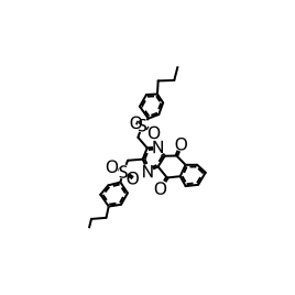 CCCc1ccc(S(=O)(=O)Cc2nc3c(nc2CS(=O)(=O)c2ccc(CCC)cc2)C(=O)c2ccccc2C3=O)cc1